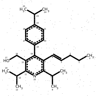 CCCC=Cc1c(C(C)C)nc(C(C)C)c(CO)c1-c1ccc(C(C)C)cc1